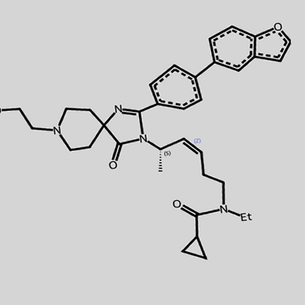 CCN(CC/C=C\[C@H](C)N1C(=O)C2(CCN(CCO)CC2)N=C1c1ccc(-c2ccc3occc3c2)cc1)C(=O)C1CC1